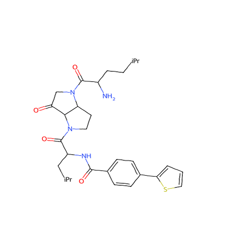 CC(C)CCC(N)C(=O)N1CC(=O)C2C1CCN2C(=O)C(CC(C)C)NC(=O)c1ccc(-c2cccs2)cc1